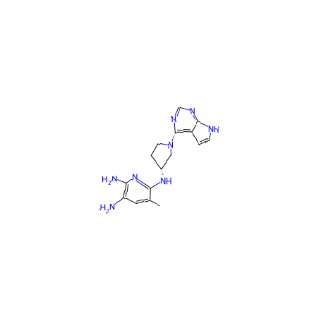 Cc1cc(N)c(N)nc1N[C@@H]1CCN(c2ncnc3[nH]ccc23)C1